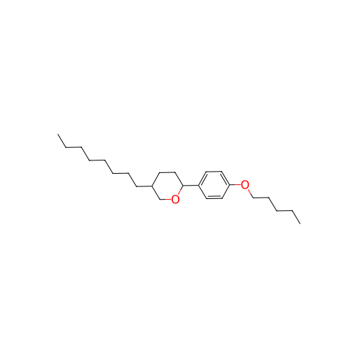 CCCCCCCCC1CCC(c2ccc(OCCCCC)cc2)OC1